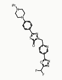 CC(C)N1CCN(c2ccc(-c3nn(Cc4ccc(-c5nnc(C(F)F)o5)cn4)c(=O)s3)cc2)CC1